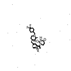 C[C@H]1C[C@@H](Cc2ccn3c(c2)c(N2CCC(=O)NC2O)c[n+]3C)CCN1CC1CCC(F)(F)CC1